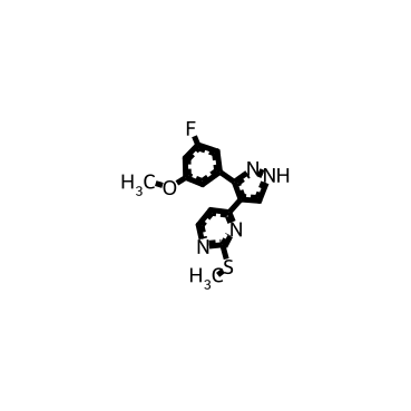 COc1cc(F)cc(-c2n[nH]cc2-c2ccnc(SC)n2)c1